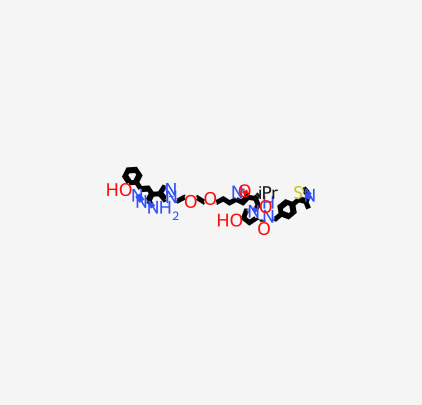 Cc1ncsc1-c1ccc(CNC(=O)[C@@H]2C[C@@H](O)CN2C(=O)C(c2cc(CCCOCCOCCn3cc(-c4cc(-c5ccccc5O)nnc4N)cn3)no2)C(C)C)cc1